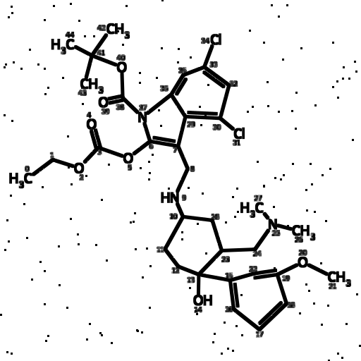 CCOC(=O)Oc1c(CNC2CCC(O)(c3cccc(OC)c3)C(CN(C)C)C2)c2c(Cl)cc(Cl)cc2n1C(=O)OC(C)(C)C